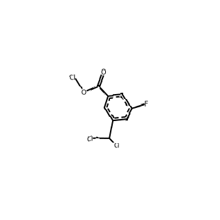 O=C(OCl)c1cc(F)cc(C(Cl)Cl)c1